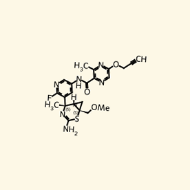 C#CCOc1cnc(C(=O)Nc2cnc(F)c([C@@]3(C)N=C(N)S[C@@]4(COC)C[C@H]43)c2)c(C)n1